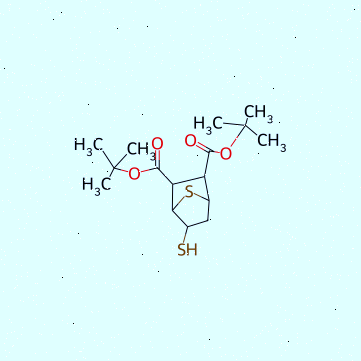 CC(C)(C)OC(=O)C1C2CC(S)C(S2)C1C(=O)OC(C)(C)C